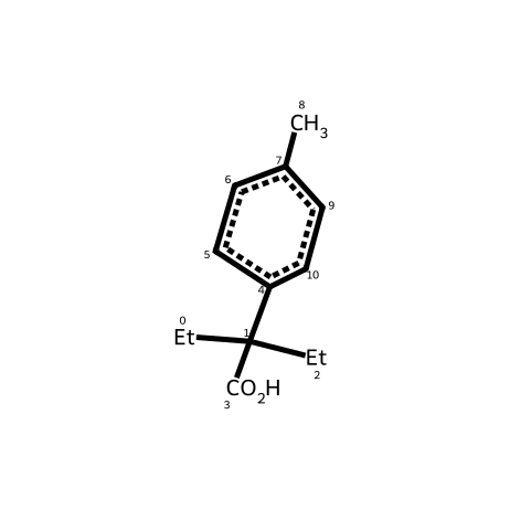 CCC(CC)(C(=O)O)c1ccc(C)cc1